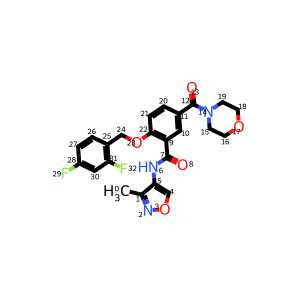 Cc1nocc1NC(=O)c1cc(C(=O)N2CCOCC2)ccc1OCc1ccc(F)cc1F